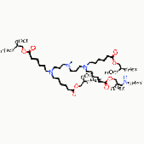 CCCCCCCCC(CCCCCC)COC(=O)CCCCCN(CCCCCC(=O)OCC(CCCCCC)CCCCCCCC)CCCN(C)CCCN(CCCCCC(=O)OCC(CCCCCC)CCCCCCCC)CCCCCC(=O)OCC(CCCCCC)CNCCCCCC